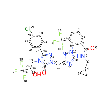 O=C(NCC1CC1)c1cccc(C(F)(F)F)c1-n1cnc(Cn2nc(-c3ccc(Cl)cc3)n(C[C@H](O)C(F)(F)F)c2=O)n1